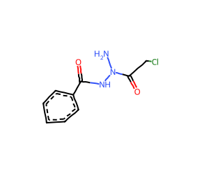 NN(NC(=O)c1ccccc1)C(=O)CCl